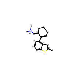 Cc1cc2c(C3=CCCCC3CN(C)C)cccc2s1